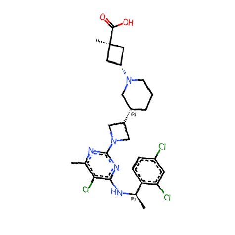 Cc1nc(N2CC([C@H]3CCCN([C@H]4C[C@](C)(C(=O)O)C4)C3)C2)nc(N[C@H](C)c2ccc(Cl)cc2Cl)c1Cl